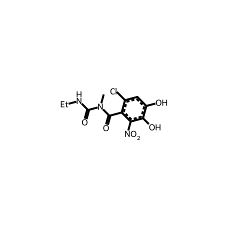 CCNC(=O)N(C)C(=O)c1c(Cl)cc(O)c(O)c1[N+](=O)[O-]